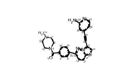 CN1CCN(C(=O)c2ccc(-c3ccc4ncc(C#Cc5ccnc(N)c5)n4n3)cc2)CC1